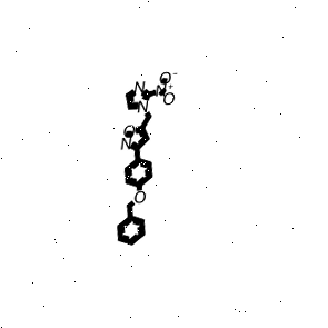 O=[N+]([O-])c1nccn1Cc1cc(-c2ccc(OCc3ccccc3)cc2)no1